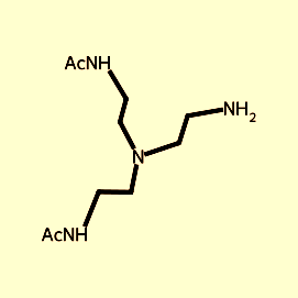 CC(=O)NCCN(CCN)CCNC(C)=O